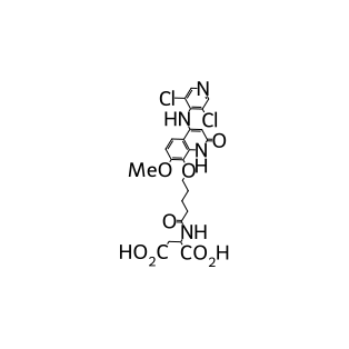 COc1ccc2c(Nc3c(Cl)cncc3Cl)cc(=O)[nH]c2c1OCCCCC(=O)NC(CC(=O)O)C(=O)O